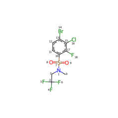 CN(CC(F)(F)F)S(=O)(=O)c1ccc(Br)c(Cl)c1F